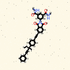 CCC(C)(C#Cc1ccccc1)c1ccc(C#Cc2ccc3c(c2)C(=O)N(c2cc(C(=O)NC)cc(C(=O)NC)c2)C3=O)cc1